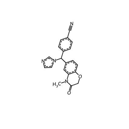 CN1C(=O)COc2ccc(C(c3ccc(C#N)cc3)n3ccnc3)cc21